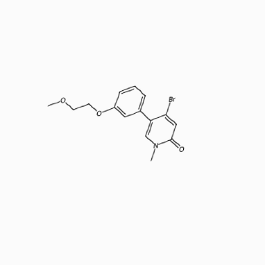 COCCOc1cccc(-c2cn(C)c(=O)cc2Br)c1